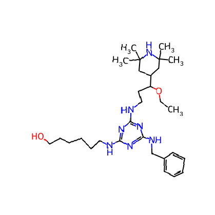 CCOC(CCNc1nc(NCCCCCCO)nc(NCc2ccccc2)n1)C1CC(C)(C)NC(C)(C)C1